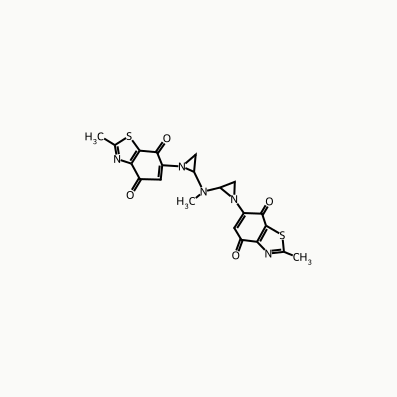 Cc1nc2c(s1)C(=O)C(N1CC1N(C)C1CN1C1=CC(=O)c3nc(C)sc3C1=O)=CC2=O